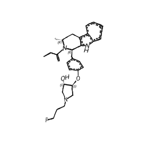 C=C(CC)N1[C@H](c2ccc(O[C@H]3CN(CCCF)C[C@@H]3O)cc2)c2[nH]c3ccccc3c2C[C@H]1C